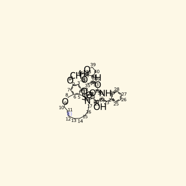 COc1ccc2c(c1)COC/C=C/CCCCCN(C[C@@H](O)[C@H](Cc1ccccc1)NC(=O)O[C@H]1CO[C@H]3OCC[C@H]31)S2(=O)=O